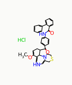 COC1=CCC(C(=O)c2ccc(NC(=O)c3ccccc3-c3ccccc3)cc2)C2C1=CNC=C1CSCCN12.Cl